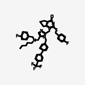 CCCCCN(Cc1ccc(F)cc1)Cc1cnc(Cn2c(SCc3ccc(F)cc3)nc(=O)c3c2CCC3)n1Cc1ccc(-c2ccc(C(F)(F)F)cc2)cc1